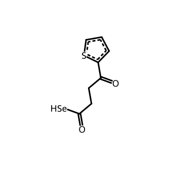 O=C([SeH])CCC(=O)c1cccs1